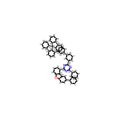 c1ccc(-c2ccc3oc4cccc(-c5nc(-c6ccccc6)nc(-c6cccc(-c7cccc(-c8cccc9c8C8(c%10ccccc%10-c%10ccccc%108)c8ccccc8-9)c7)c6)n5)c4c3c2)cc1